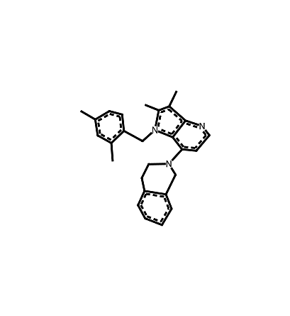 Cc1ccc(Cn2c(C)c(C)c3nccc(N4CCc5ccccc5C4)c32)c(C)c1